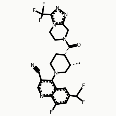 C[C@@H]1CN(c2c(C#N)cnc3c(F)cc(C(F)F)cc23)CC[C@@H]1C(=O)N1CCn2c(nnc2C(F)(F)F)C1